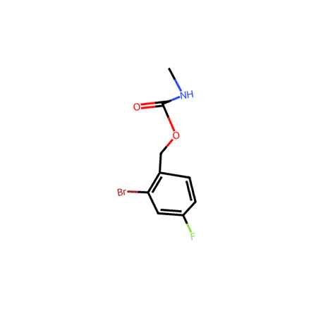 CNC(=O)OCc1ccc(F)cc1Br